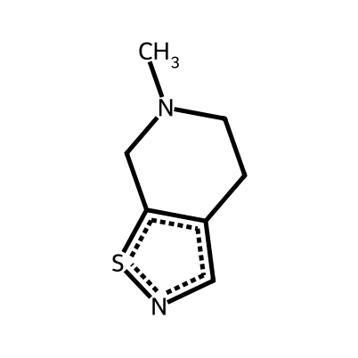 CN1CCc2cnsc2C1